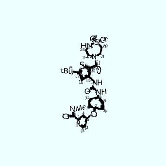 CNC(=O)c1cc(Oc2ccc(NC(=O)Nc3cc(C(C)(C)C)sc3C(=O)N3CCNS(=O)(=O)CC3)cc2)ccn1